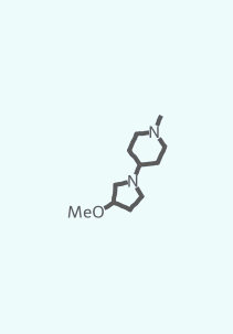 COC1CCN(C2CCN(C)CC2)C1